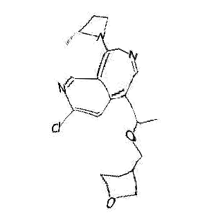 CC(OCC1COC1)c1cnc(N2CC[C@H]2C)c2cnc(Cl)cc12